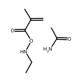 C=C(C)C(=O)ONCC.CC(N)=O